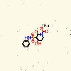 CC(C)(C)OC(=O)N1CCC(O)=C(S(=O)(=O)Nc2ccccc2)C1=O